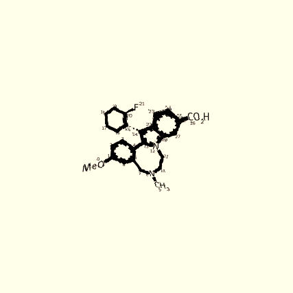 COc1ccc2c(c1)CN(C)CCn1c-2c([C@@H]2CCCC[C@H]2F)c2ccc(C(=O)O)cc21